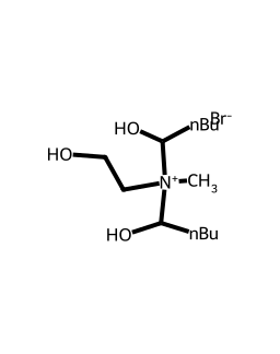 CCCCC(O)[N+](C)(CCO)C(O)CCCC.[Br-]